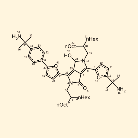 CCCCCCCCC(CCCCCC)CN1C(=O)C2=C(c3ccc(C(C)(C)N)o3)N(CC(CCCCCC)CCCCCCCC)C(O)C2=C1c1ccc(-c2ccc(C(C)(C)N)cc2)o1